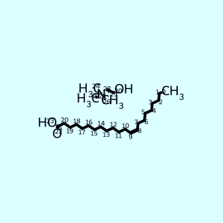 CCCCCCCC/C=C\CCCCCCCCCCCC(=O)O.C[N+](C)(C)CCO